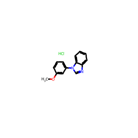 COc1cccc(-n2cnc3ccccc32)c1.Cl